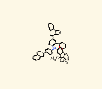 CC1(C)c2ccccc2-c2ccc(N(c3ccc(-c4ccc5ccccc5c4)cc3)c3ccc(-c4cc5ccccc5c5ccccc45)cc3-c3ccccc3)cc21